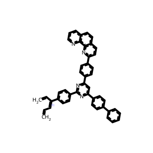 C=C/C=C(\C=C)c1ccc(-c2nc(-c3ccc(-c4ccccc4)cc3)cc(-c3ccc(-c4ccc5ccc6cccnc6c5n4)cc3)n2)cc1